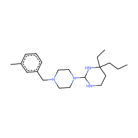 CCCC1(CC)CCNC(N2CCN(Cc3cccc(C)c3)CC2)N1